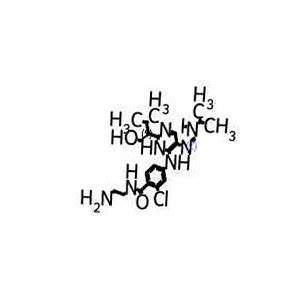 CC(C)[C@H](CO)C1N=CC(/N=C\N(I)C(C)C)=C(Nc2ccc(C(=O)NCCN)c(Cl)c2)N1